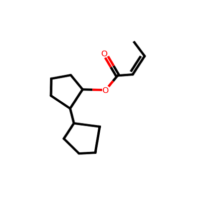 C/C=C\C(=O)OC1CCCC1C1CCCC1